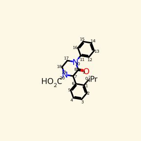 CC(C)c1ccccc1C1C(=O)N(c2ccccc2)CCN1C(=O)O